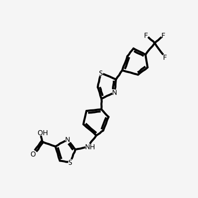 O=C(O)c1csc(Nc2ccc(-c3csc(-c4ccc(C(F)(F)F)cc4)n3)cc2)n1